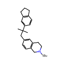 CC(C)(Cc1ccc2c(c1)CCN(C(C)(C)C)C2)c1ccc2c(c1)CCC2